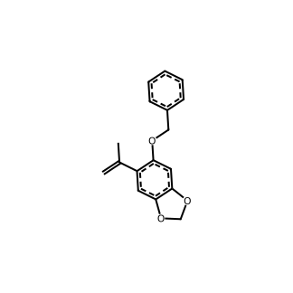 C=C(C)c1cc2c(cc1OCc1ccccc1)OCO2